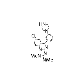 CNC(=Nc1nc(-c2cccc(N3CCNCC3)c2)c2cc(Cl)ccc2n1)NC